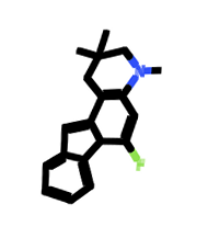 CN1CC(C)(C)CC2=C1C=C(F)C1C2=Cc2ccccc21